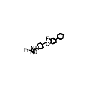 CC(C)c1noc(N2CCC(COc3ccc(C4=CC[CH]CC4)cc3F)CC2)n1